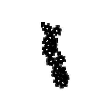 Fc1ccc(N(c2ccccc2)c2ccc3c4c(ccc3c2)-c2ccc3cc(-c5cccc(N(c6cccc(F)c6)c6ccc7c8c(ccc7c6)-c6ccc7ccccc7c6C86c7ccccc7-c7ccccc76)c5)ccc3c2C42c3ccccc3-c3ccccc32)cc1